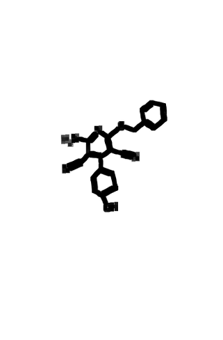 N#Cc1c(N)nc(SCc2ccccc2)c(C#N)c1-c1ccc(O)cc1